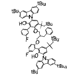 CC(C)(C)CC(C)(C)c1cc(-c2cc(F)ccc2OCC(COc2c(C(C)(C)CC(C)(C)C)cc(-n3c4ccc(C(C)(C)C)cc4c4cc(C(C)(C)C)ccc43)c(O)c2-c2cccc(F)c2)Cc2ccccc2)c(O)c(-n2c3ccc(C(C)(C)C)cc3c3cc(C(C)(C)C)ccc32)c1